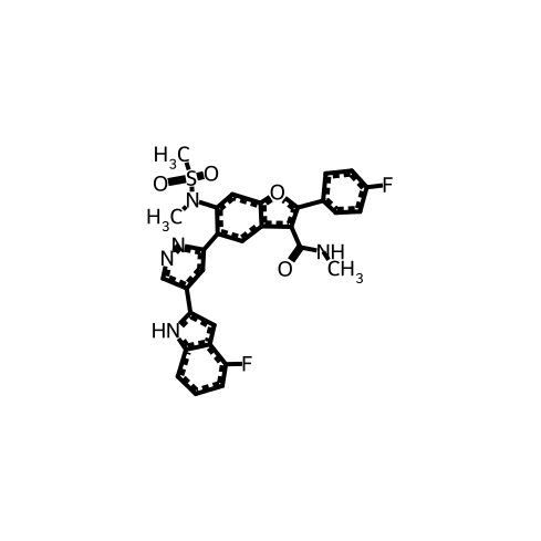 CNC(=O)c1c(-c2ccc(F)cc2)oc2cc(N(C)S(C)(=O)=O)c(-c3cc(-c4cc5c(F)cccc5[nH]4)cnn3)cc12